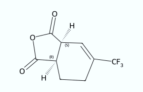 O=C1OC(=O)[C@@H]2CCC(C(F)(F)F)=C[C@H]12